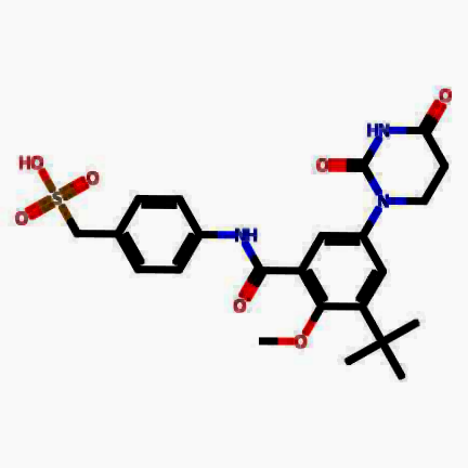 COc1c(C(=O)Nc2ccc(CS(=O)(=O)O)cc2)cc(N2CCC(=O)NC2=O)cc1C(C)(C)C